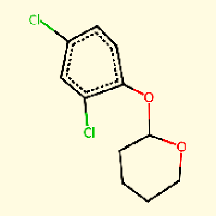 Clc1ccc(OC2CCCCO2)c(Cl)c1